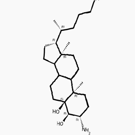 CC(C)CCC[C@@H](C)[C@H]1CCC2C3CC[C@@]4(O)[C@H](O)[C@@H](N)CC[C@]4(C)C3CC[C@@]21C